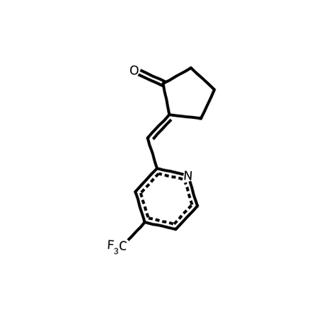 O=C1CCC/C1=C\c1cc(C(F)(F)F)ccn1